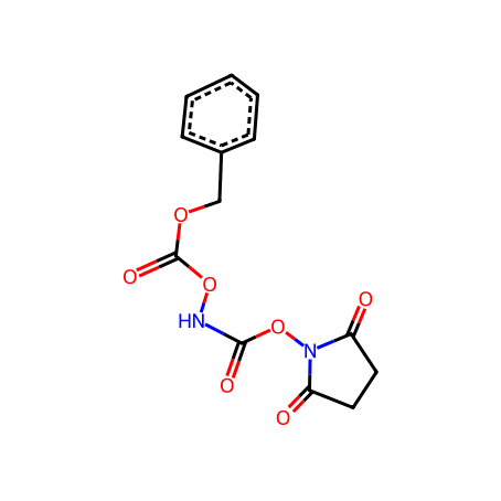 O=C(NOC(=O)OCc1ccccc1)ON1C(=O)CCC1=O